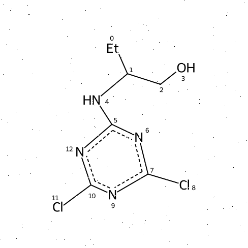 CCC(CO)Nc1nc(Cl)nc(Cl)n1